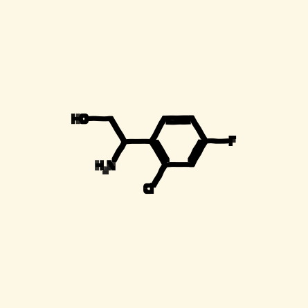 NC(CO)c1ccc(F)cc1Cl